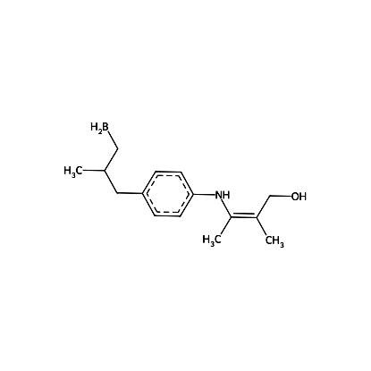 BCC(C)Cc1ccc(N/C(C)=C(/C)CO)cc1